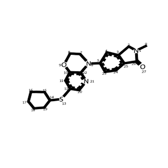 CN1Cc2cc(N3CCOc4cc(SC5CCCCC5)cnc43)ccc2C1=O